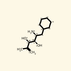 C=C(C)[C@@H](O)[C@H](O)[C@@H](N)CC1CCCCC1